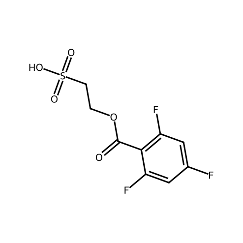 O=C(OCCS(=O)(=O)O)c1c(F)cc(F)cc1F